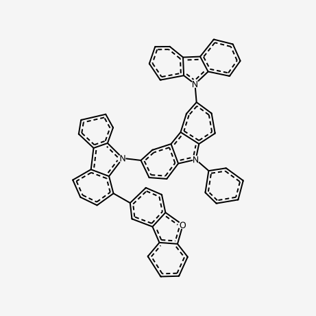 c1ccc(-n2c3ccc(-n4c5ccccc5c5ccccc54)cc3c3cc(-n4c5ccccc5c5cccc(-c6ccc7oc8ccccc8c7c6)c54)ccc32)cc1